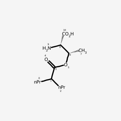 CCCC(CCC)C(=O)O[C@@H](C)[C@H](N)C(=O)O